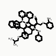 Cc1ccccc1-c1c2/c(=C(\C#N)CSc3ccccc3N)n(Bc3ccccc3)c(Cc3ccc(OCC(C)C)cc3)c2/c(=C(\C#N)c2nc3ccccc3s2)n1B(c1ccccc1)c1ccccc1